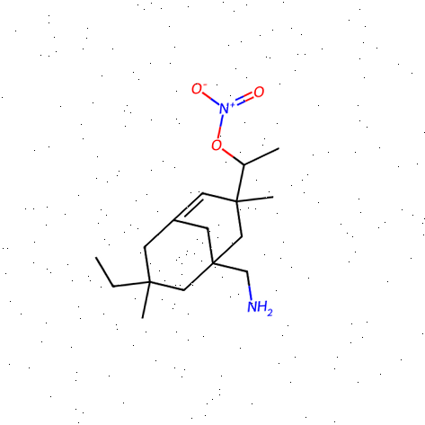 CCC1(C)CC2=CC(C)(C(C)O[N+](=O)[O-])CC(CN)(C2)C1